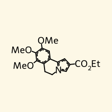 CCOC(=O)c1cc2n(c1)CCc1c-2cc(OC)c(OC)c1OC